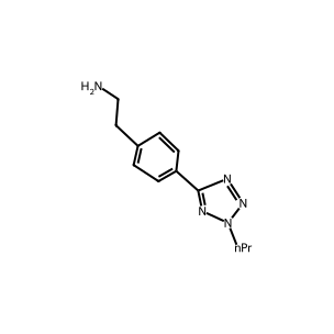 CCCn1nnc(-c2ccc(CCN)cc2)n1